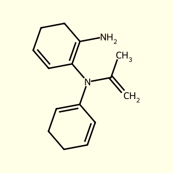 C=C(C)N(C1=CCCC=C1)C1=C(N)CCC=C1